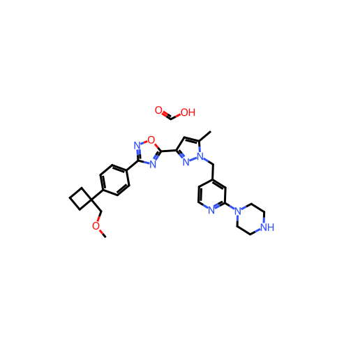 COCC1(c2ccc(-c3noc(-c4cc(C)n(Cc5ccnc(N6CCNCC6)c5)n4)n3)cc2)CCC1.O=CO